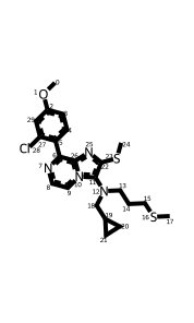 COc1ccc(-c2nccn3c(N(CCCSC)CC4CC4)c(SC)nc23)c(Cl)c1